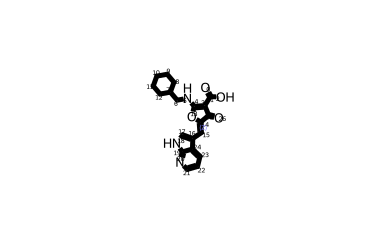 O=C(O)C1=C(NCC2CCCCC2)O/C(=C\c2c[nH]c3ncccc23)C1=O